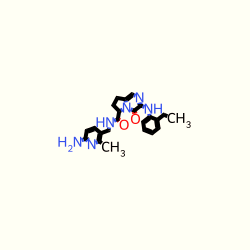 CCc1ccccc1Nc1ncc2n(c1=O)C(C(=O)NCc1ccc(N)nc1C)CC2